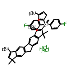 Cl.Cl.[CH2]=[Zr]([C]1=CC(C(C)(C)C)=CC1)([C]1=C(C(C)(C)C)c2cc3c(cc2C1(C)C)Cc1cc2c(cc1-3)C(C(C)(C)C)=CC2(C)C)([c]1ccc(F)cc1)[c]1ccc(F)cc1